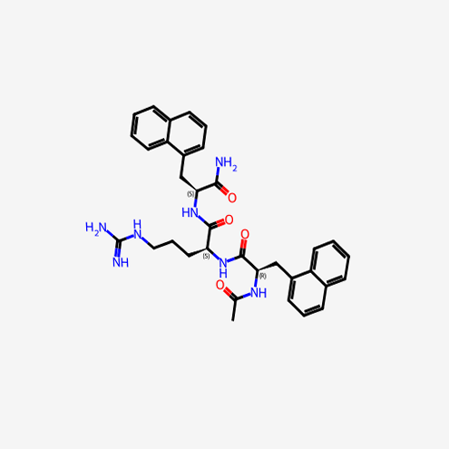 CC(=O)N[C@H](Cc1cccc2ccccc12)C(=O)N[C@@H](CCCNC(=N)N)C(=O)N[C@@H](Cc1cccc2ccccc12)C(N)=O